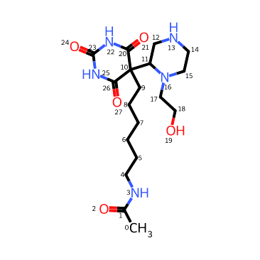 CC(=O)NCCCCCCC1(C2CNCCN2CCO)C(=O)NC(=O)NC1=O